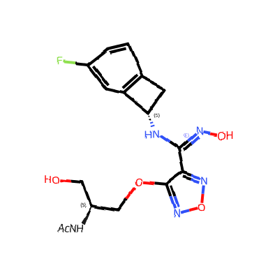 CC(=O)N[C@@H](CO)COc1nonc1/C(=N\O)N[C@H]1Cc2ccc(F)cc21